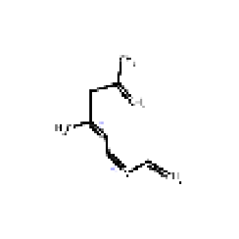 C=C/N=C\C=C(/C)CC(=C)C